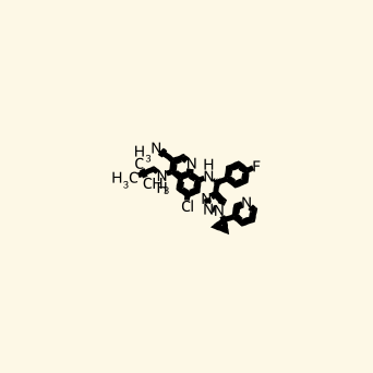 CC(C)(C)CNc1c(C#N)cnc2c(N[C@@H](c3ccc(F)cc3)c3cn(C4(c5cccnc5)CC4)nn3)cc(Cl)cc12